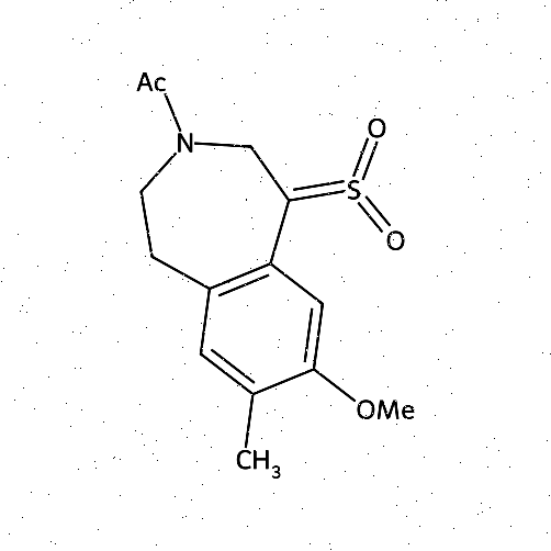 COc1cc2c(cc1C)CCN(C(C)=O)CC2=S(=O)=O